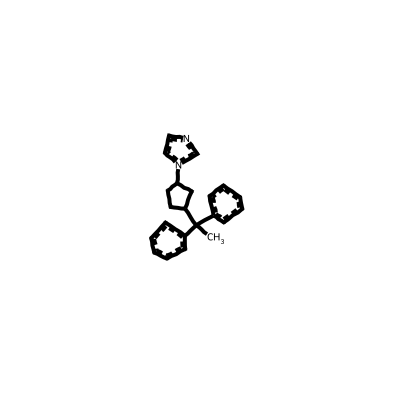 CC(c1ccccc1)(c1ccccc1)C1CCC(n2ccnc2)C1